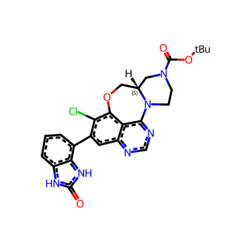 CC(C)(C)OC(=O)N1CCN2c3ncnc4cc(-c5cccc6[nH]c(=O)[nH]c56)c(Cl)c(c34)OC[C@@H]2C1